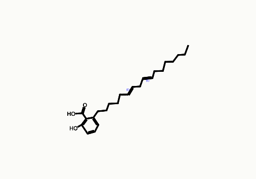 CCCCCCC/C=C/C/C=C/CCCCCc1cccc(O)c1C(=O)O